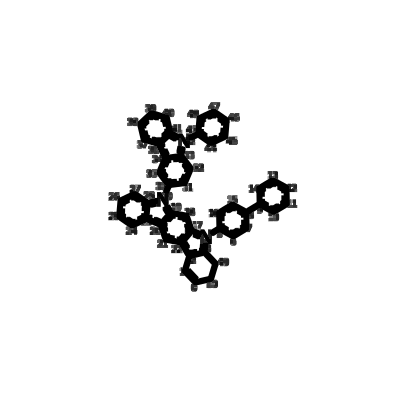 C1=Cc2c(n(-c3ccc(-c4ccccc4)cc3)c3cc4c(cc23)c2ccccc2n4-c2ccc3c(c2)c2ccccc2n3-c2ccccc2)CC1